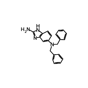 Nc1nc2cc(N(Cc3ccccc3)Cc3ccccc3)ccc2[nH]1